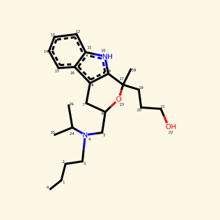 CCCCN(CC1Cc2c([nH]c3ccccc23)C(C)(CCCO)O1)C(C)C